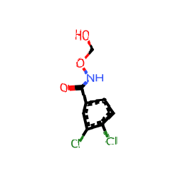 O=C(NOCO)c1ccc(Cl)c(Cl)c1